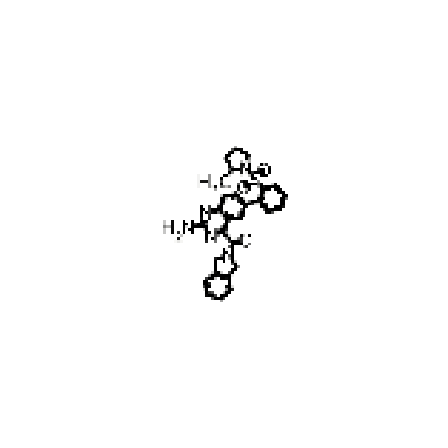 CC1CCCN1S(=O)(=O)c1ccccc1-c1ccc2nc(N)nc(C(=O)N3Cc4ccccc4C3)c2c1